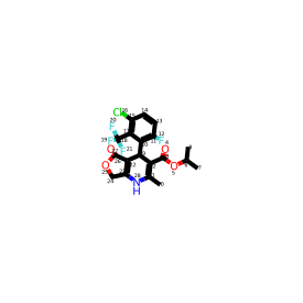 CC1=C(C(=O)OC(C)C)C(c2c(F)ccc(Cl)c2C(F)(F)F)C2=C(COC2=O)N1